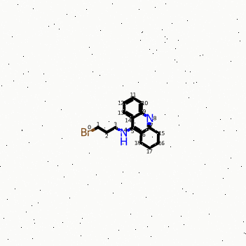 BrCCCNc1c2c(nc3ccccc13)CCCC2